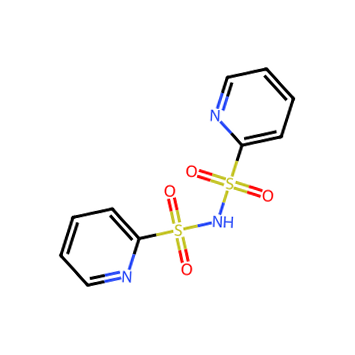 O=S(=O)(NS(=O)(=O)c1ccccn1)c1ccccn1